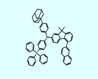 CC1(C)c2cc(N(c3ccc(C45CC6CC(CC(C6)C4)C5)cc3)c3ccc([Si](c4ccccc4)(c4ccccc4)c4ccccc4)cc3)ccc2-c2c(-c3ccc4ccccc4c3)cccc21